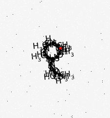 C/C=C1\NC(=O)c2csc(n2)[C@@H](C(C)C)NC(=O)c2csc(n2)/C(=C/C)NC(=O)[C@H]([C@@H](C)O)NC(=O)c2csc(n2)-c2ccc(-c3nc(-c4nc(C(=O)N[C@H](C(=O)NC[C@H](C)O)[C@@H](C)O)cs4)cs3)nc2-c2csc1n2